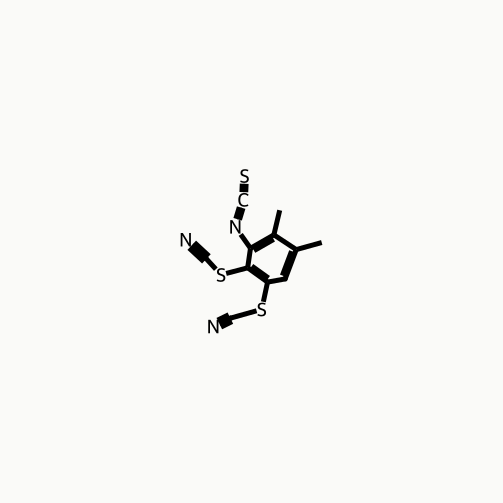 Cc1cc(SC#N)c(SC#N)c(N=C=S)c1C